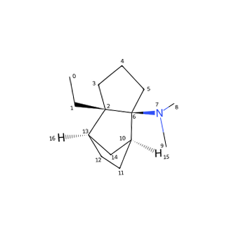 CC[C@@]12CCC[C@]1(N(C)C)[C@H]1CC[C@@H]2C1